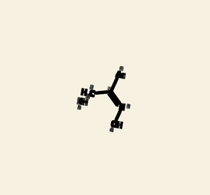 CC(=O)C(C)=NO.[KH]